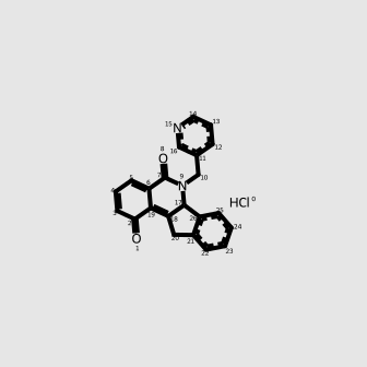 Cl.O=C1C=CC=C2C(=O)N(Cc3cccnc3)C3C(=C12)Cc1ccccc13